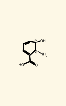 N[C@@H]1C(C(=O)O)=CC=C[C@H]1O